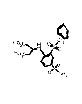 NS(=O)(=O)c1ccc(NC(CC(=O)O)CS(=O)(=O)O)c(S(=O)(=O)C(F)(F)F)c1.c1ccccc1